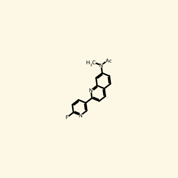 CC(=O)N(C)c1ccc2ccc(-c3ccc(F)nc3)nc2c1